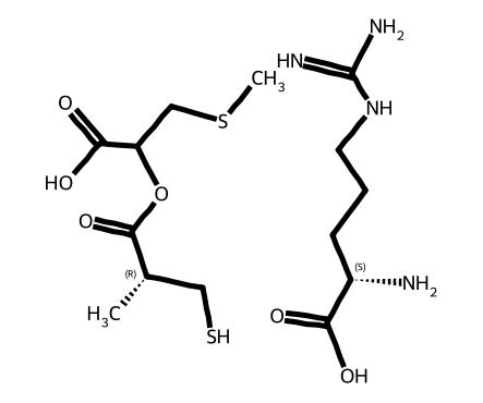 CSCC(OC(=O)[C@@H](C)CS)C(=O)O.N=C(N)NCCC[C@H](N)C(=O)O